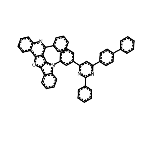 c1ccc(-c2ccc(-c3cc(-c4cccc(-n5c6ccccc6c6oc7c8ccccc8nc(-c8ccccc8)c7c65)c4)nc(-c4ccccc4)n3)cc2)cc1